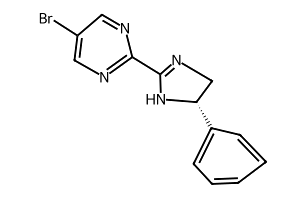 Brc1cnc(C2=NC[C@H](c3ccccc3)N2)nc1